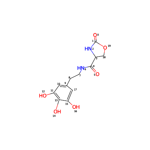 O=C1NC(C(=O)NCCc2cc(O)c(O)c(O)c2)CO1